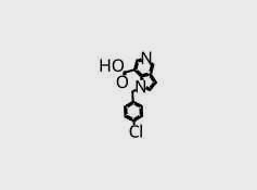 O=C(O)c1cncc2ccn(Cc3ccc(Cl)cc3)c12